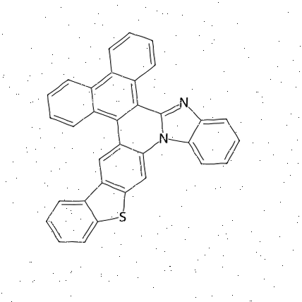 c1ccc2c(c1)nc1c3c4ccccc4c4ccccc4c3c3cc4c(cc3n21)sc1ccccc14